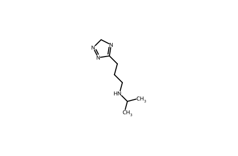 CC(C)NCCCC1=NCN=N1